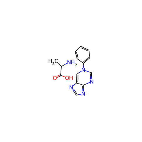 CC(N)C(=O)O.c1ccc(-n2cnc3ncnc-3c2)cc1